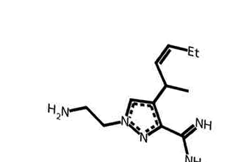 CC/C=C\C(C)c1cn(CCN)nc1C(=N)N